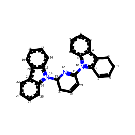 C1=Cc2c(c3ccccc3n2C2=NC(n3c4ccccc4c4ccccc43)CC=C2)CC1